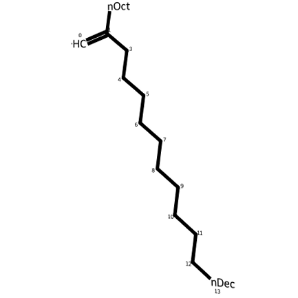 [CH]=C(CCCCCCCC)CCCCCCCCCCCCCCCCCCCC